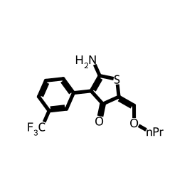 CCCO/C=C1/SC(N)=C(c2cccc(C(F)(F)F)c2)C1=O